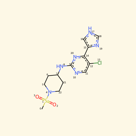 CS(=O)(=O)N1CCC(Nc2ncc(Cl)c(-c3c[nH]cn3)n2)CC1